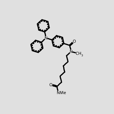 CNC(=O)CCCCCCN(C)C(=O)c1ccc(N(c2ccccc2)c2ccccc2)cc1